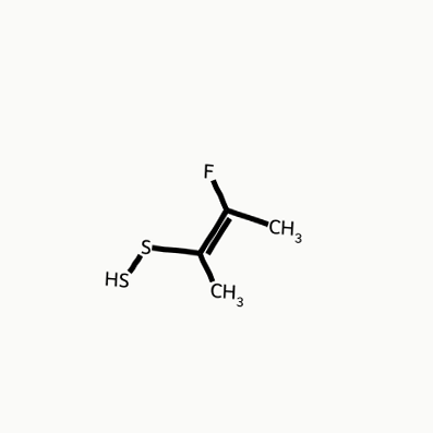 C/C(F)=C(\C)SS